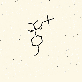 CCN1CCN(P(=O)(OCC(C)(C)C)C(C)C)CC1